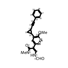 CNC(=O)/C(=C\NC=O)c1cc(C2CC2C#Cc2ccccc2)c(OC)nn1